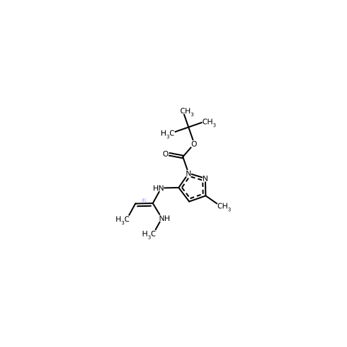 C/C=C(\NC)Nc1cc(C)nn1C(=O)OC(C)(C)C